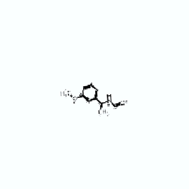 COc1cccc(C(C)NC=O)c1